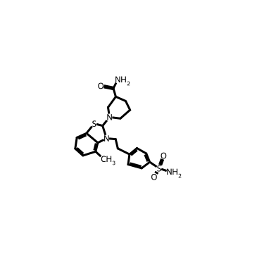 Cc1cccc2c1N(CCc1ccc(S(N)(=O)=O)cc1)C(N1CCCC(C(N)=O)C1)S2